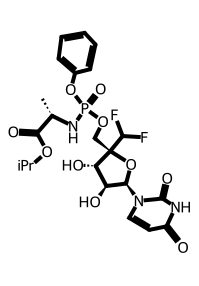 CC(C)OC(=O)[C@H](C)NP(=O)(OC[C@@]1(C(F)F)O[C@@H](n2ccc(=O)[nH]c2=O)[C@@H](O)[C@@H]1O)Oc1ccccc1